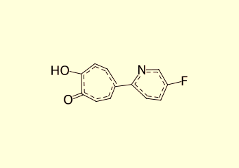 O=c1ccc(-c2ccc(F)cn2)ccc1O